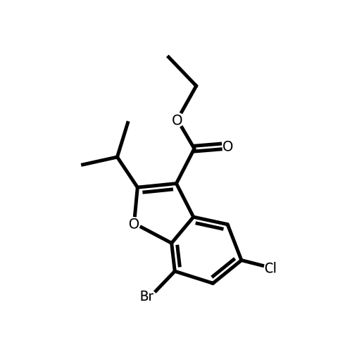 CCOC(=O)c1c(C(C)C)oc2c(Br)cc(Cl)cc12